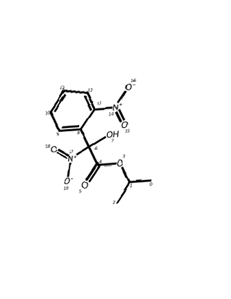 CC(C)OC(=O)C(O)(c1ccccc1[N+](=O)[O-])[N+](=O)[O-]